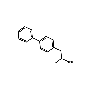 CC(C)(C)C(I)Cc1ccc(-c2ccccc2)cc1